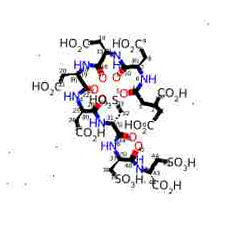 O=C(O)CC(CC(=O)N[C@H](CC(=O)O)C(=O)N[C@H](CC(=O)O)C(=O)N[C@H](CC(=O)O)C(=O)N[C@H](CC(=O)O)C(=O)N[C@H](CS(=O)(=O)O)C(=O)N[C@H](CS(=O)(=O)O)C(=O)N[C@H](CS(=O)(=O)O)C(=O)O)C(=O)O